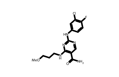 COCCCNc1nc(Nc2ccc(F)c(Cl)c2)ncc1C(N)=O